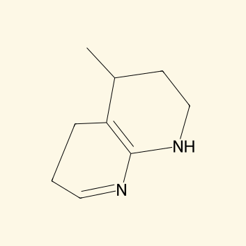 CC1CCNC2=C1CCC=N2